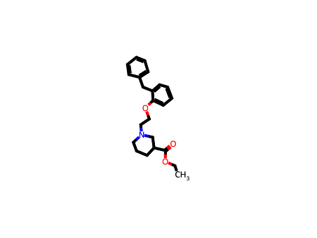 CCOC(=O)C1CCCN(CCOc2ccccc2Cc2ccccc2)C1